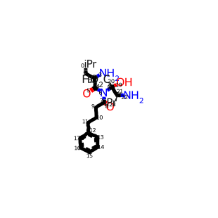 CC(C)CC(N)C(=O)N(C(=O)CCCc1ccccc1)[C@@](O)(C(=O)O)[C@H](N)C(C)C